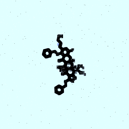 CN(C)[C@@H]1c2onc(OCc3ccccc3)c2C(=O)[C@@]2(O)C(O)=C3C(=O)c4c(c(F)cc(/C=C/CO)c4OCc4ccccc4)C[C@H]3C[C@@H]12